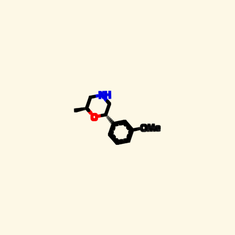 COc1cccc([C@H]2CNC[C@H](C)O2)c1